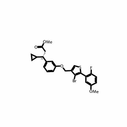 COC(=O)C[C@H](c1cccc(OCc2csc(-c3cc(OC)ccc3F)c2Br)c1)C1CC1